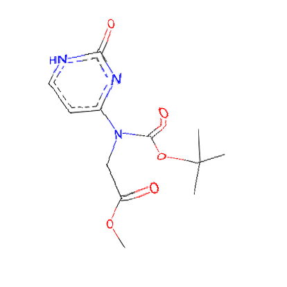 COC(=O)CN(C(=O)OC(C)(C)C)c1cc[nH]c(=O)n1